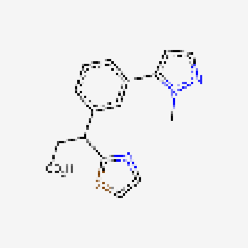 Cn1nccc1-c1cccc(C(CC(=O)O)c2nccs2)c1